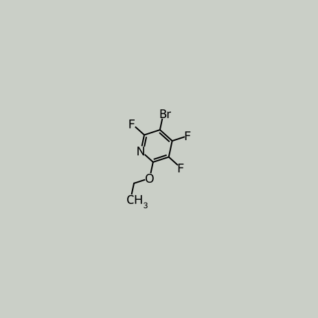 CCOc1nc(F)c(Br)c(F)c1F